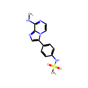 CNc1nccn2c(-c3ccc(NS(C)(=O)=O)cc3)cnc12